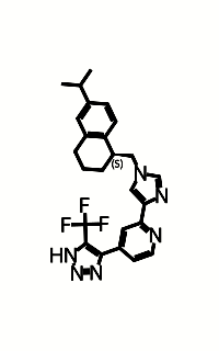 CC(C)c1ccc2c(c1)CCC[C@@H]2Cn1cnc(-c2cc(-c3nn[nH]c3C(F)(F)F)ccn2)c1